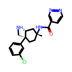 C[C@]1(NC(=O)c2ccnnc2)CC[C@](CN)(c2cccc(Cl)c2)CC1